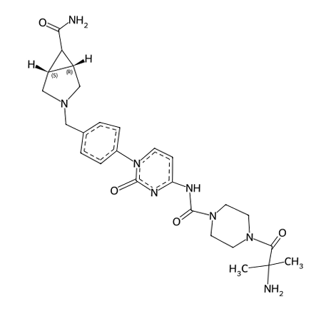 CC(C)(N)C(=O)N1CCN(C(=O)Nc2ccn(-c3ccc(CN4C[C@@H]5C(C(N)=O)[C@@H]5C4)cc3)c(=O)n2)CC1